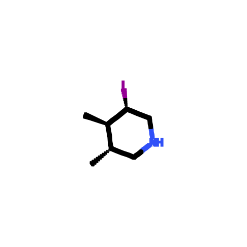 C[C@H]1[C@H](I)CNC[C@@H]1C